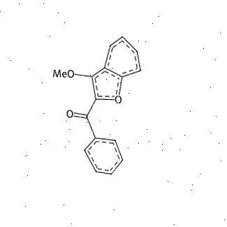 COc1c(C(=O)c2ccccc2)oc2ccccc12